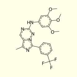 COc1cc(Nc2ncc3c(C)nc(-c4cccc(C(F)(F)F)c4)n3n2)cc(OC)c1OC